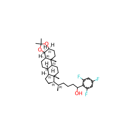 C[C@H](CCCC(O)c1c(F)cc(F)cc1F)[C@H]1CC[C@H]2[C@@H]3CC[C@H]4[C@H]5OC(C)(C)O[C@H]5CC[C@]4(C)[C@H]3CC[C@]12C